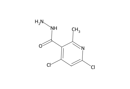 Cc1nc(Cl)cc(Cl)c1C(=O)NN